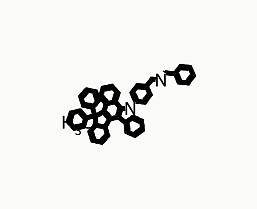 CC12C=CC=CC1c1c(c3ccccc3c3c1c1ccccc1n3-c1ccc(C/N=C/c3ccccc3)cc1)C2(c1ccccc1)c1ccccc1